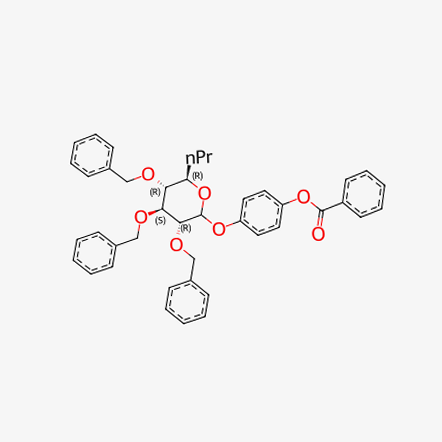 CCC[C@H]1OC(Oc2ccc(OC(=O)c3ccccc3)cc2)[C@H](OCc2ccccc2)[C@@H](OCc2ccccc2)[C@@H]1OCc1ccccc1